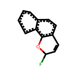 FC1C=Cc2ccc3ccccc3c2O1